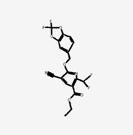 CCOC(=O)c1cc(C#N)c(OCc2ccc3c(c2)OC(F)(F)O3)nc1C(F)F